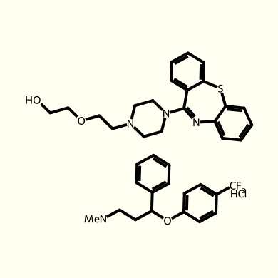 CNCCC(Oc1ccc(C(F)(F)F)cc1)c1ccccc1.Cl.OCCOCCN1CCN(C2=Nc3ccccc3Sc3ccccc32)CC1